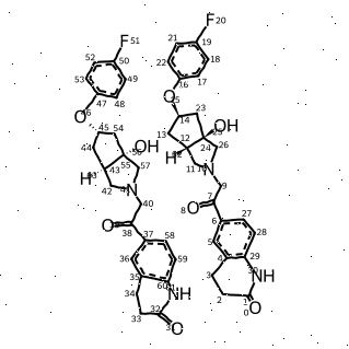 O=C1CCc2cc(C(=O)CN3C[C@@H]4C[C@@H](Oc5ccc(F)cc5)C[C@]4(O)C3)ccc2N1.O=C1CCc2cc(C(=O)CN3C[C@H]4C[C@H](Oc5ccc(F)cc5)C[C@@]4(O)C3)ccc2N1